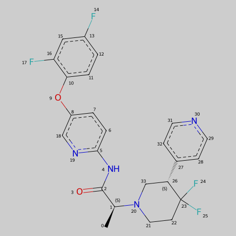 C[C@@H](C(=O)Nc1ccc(Oc2ccc(F)cc2F)cn1)N1CCC(F)(F)[C@@H](c2ccncc2)C1